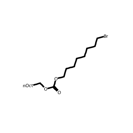 CCCCCCCCCOC(=O)OCCCCCCCCBr